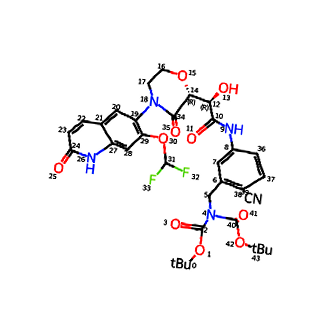 CC(C)(C)OC(=O)N(Cc1cc(NC(=O)[C@H](O)[C@H]2OCCN(c3cc4ccc(=O)[nH]c4cc3OC(F)F)C2=O)ccc1C#N)C(=O)OC(C)(C)C